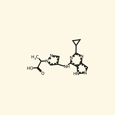 CC(C(=O)O)n1cc(Nc2nc(C3CC3)nc3cn[nH]c23)cn1